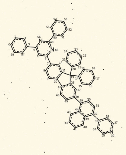 c1ccc(-c2cc(-c3ccc4c(c3)C(c3ccccc3)(c3ccccc3)c3cc(-c5ccc(-c6ccncc6)c6ccccc56)ccc3-4)nc(-c3ccccc3)n2)cc1